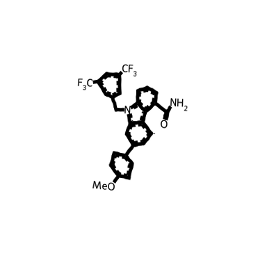 COc1ccc(-c2c[c]c3c4c(C(N)=O)cccc4n(Cc4cc(C(F)(F)F)cc(C(F)(F)F)c4)c3c2)cc1